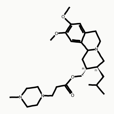 COc1cc2c(cc1OC)C1C[C@@H](COC(=O)CCN3CCN(C)CC3)[C@H](CC(C)C)CN1CC2